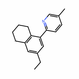 CCc1cc2c(c(-c3ccc(C)cn3)c1)CCC[CH]2